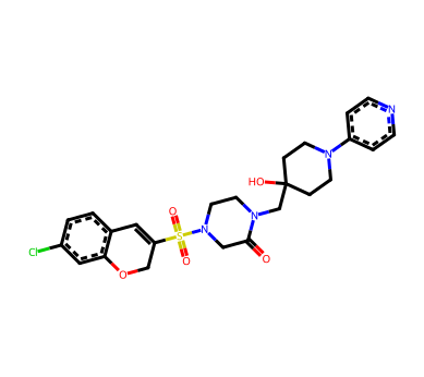 O=C1CN(S(=O)(=O)C2=Cc3ccc(Cl)cc3OC2)CCN1CC1(O)CCN(c2ccncc2)CC1